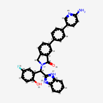 Nc1ccc(-c2ccc(-c3ccc4c(c3)C(=O)N(C(c3nc5ccccc5[nH]3)c3cc(F)ccc3O)C4)cc2)cn1